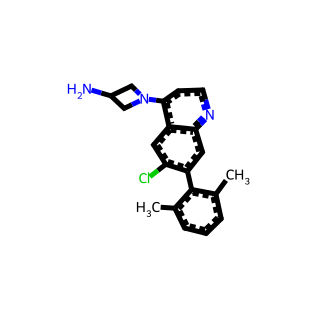 Cc1cccc(C)c1-c1cc2nccc(N3CC(N)C3)c2cc1Cl